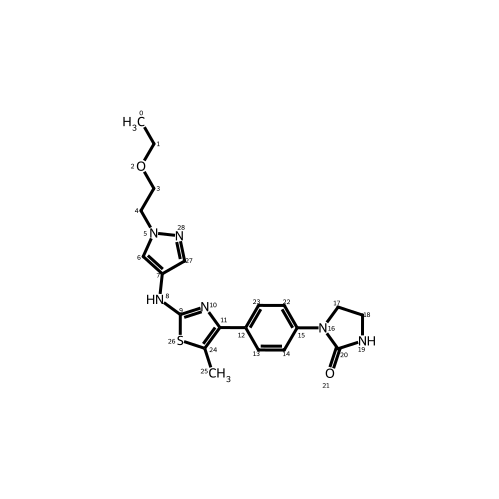 CCOCCn1cc(Nc2nc(-c3ccc(N4CCNC4=O)cc3)c(C)s2)cn1